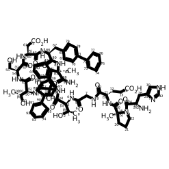 C[C@@H](O)[C@H](NC(=O)CNC(=O)[C@H](CCC(=O)O)NC(=O)[C@]1(C)CCCN1C(=O)[C@@H](N)Cc1c[nH]cn1)C(=O)NC(C)(Cc1ccccc1F)C(=O)N[C@H](C(=O)N[C@@H](CO)C(=O)N[C@@H](CC(=O)O)C(=O)N[C@@H](Cc1ccc(-c2ccccc2)cc1)C(=O)N[C@](C)(Cc1ccc(-c2ccccc2)cc1)C(N)=O)[C@@H](C)O